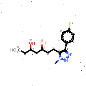 Cn1nnc(-c2ccc(F)cc2)c1CCC(O)CC(O)CC(=O)O